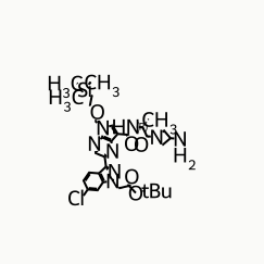 C[C@@H](NC(=O)c1cn(COCC[Si](C)(C)C)c2ncc(-c3nn(CC(=O)OC(C)(C)C)c4cc(Cl)ccc34)nc12)C(=O)N1CC(N)C1